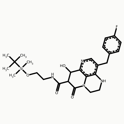 CC(C)(C)[Si](C)(C)OCCNC(=O)C1C(=O)N2CCNc3c(Cc4ccc(F)cc4)cnc(c32)C1O